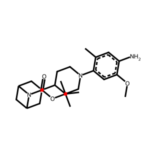 COc1cc(N2CCC(N3CC4CC(C3)N4C(=O)OC(C)(C)C)CC2)c(C)cc1N